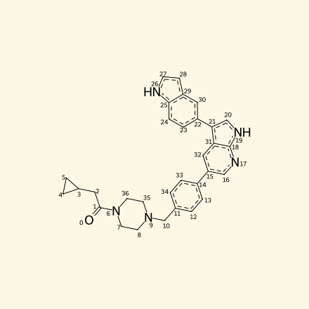 O=C(CC1CC1)N1CCN(Cc2ccc(-c3cnc4[nH]cc(-c5ccc6[nH]ccc6c5)c4c3)cc2)CC1